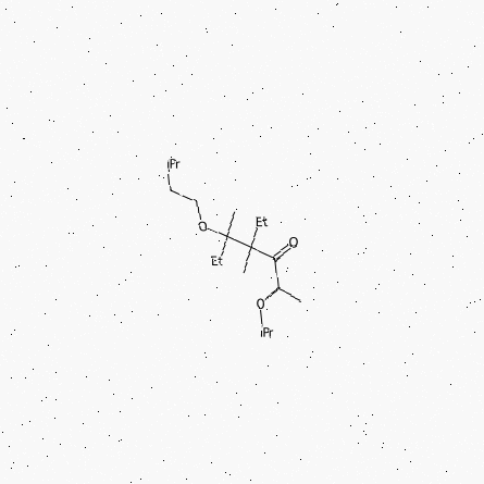 CCC(C)(OCCC(C)C)C(C)(CC)C(=O)C(C)OC(C)C